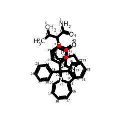 CC(C)C(C(N)=O)N1CC[C@]2(CCN(CC3=CC=CC=CN3C(c3ccccc3)(c3ccccc3)c3ccccc3)C2)C1=O